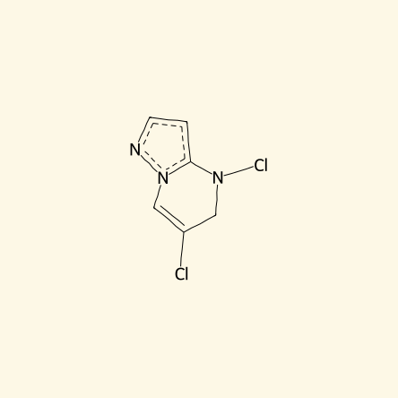 ClC1=Cn2nccc2N(Cl)C1